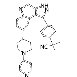 CC(C)(C#N)c1ccc(-c2n[nH]c3cnc4ccc(C5CCN(c6ccncc6)CC5)cc4c23)cc1